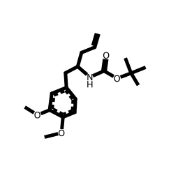 C=CCC(Cc1ccc(OC)c(OC)c1)NC(=O)OC(C)(C)C